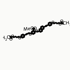 C=CC(=O)OCCCCOc1ccc(C#CCOc2ccc(OCc3ccc4cc(C#Cc5ccc(OCCCCOC(=O)C=C)cc5)ccc4c3)c(C(=O)OC)c2)cc1